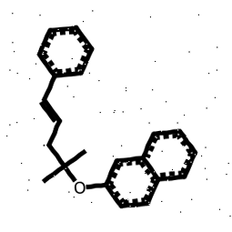 CC(C)([CH]C=Cc1ccccc1)Oc1ccc2ccccc2c1